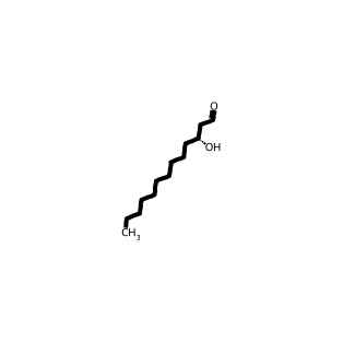 CCCCCCCCCC[C@@H](O)CC=O